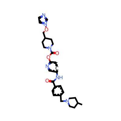 CC1CCN(Cc2ccc(C(=O)Nc3ccc(OC(=O)N4CCC(COn5ccnc5)CC4)nc3)cc2)CC1